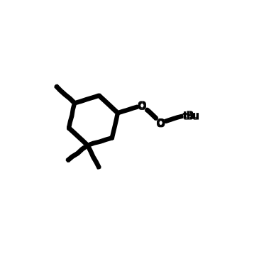 CC1CC(OOC(C)(C)C)CC(C)(C)C1